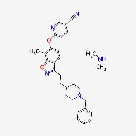 CNC.Cc1c(Oc2ccc(C#N)cn2)ccc2c(CCC3CCN(Cc4ccccc4)CC3)noc12